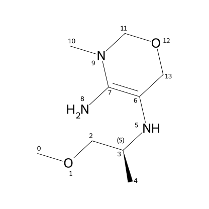 COC[C@H](C)NC1=C(N)N(C)COC1